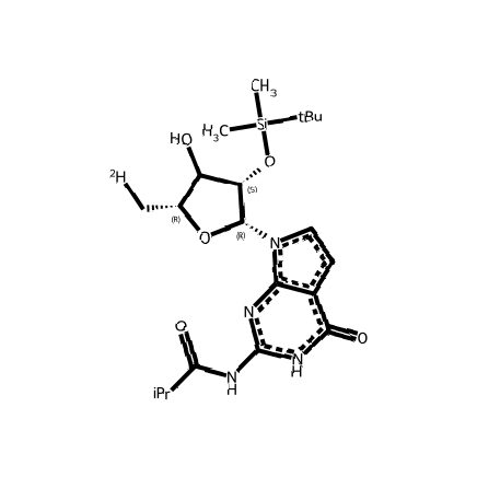 [2H]C[C@H]1O[C@@H](n2ccc3c(=O)[nH]c(NC(=O)C(C)C)nc32)[C@@H](O[Si](C)(C)C(C)(C)C)C1O